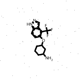 NC1CCCC(Oc2ccc3[nH]ncc3c2C(F)(F)F)C1